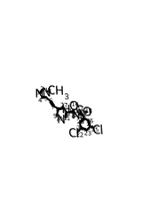 Cn1cncc1C#Cc1cncc(C(=O)N=S(C)(=O)c2cc(Cl)cc(Cl)c2)c1